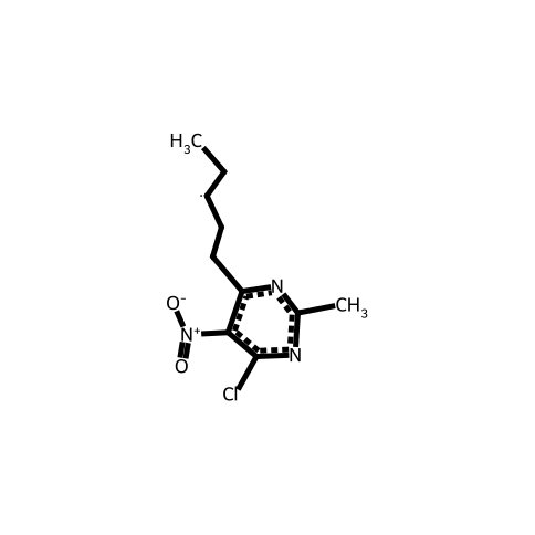 CC[CH]CCc1nc(C)nc(Cl)c1[N+](=O)[O-]